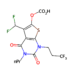 CCCn1c(=O)c2c(C(F)F)c(OC(=O)O)sc2n(CCC(F)(F)F)c1=O